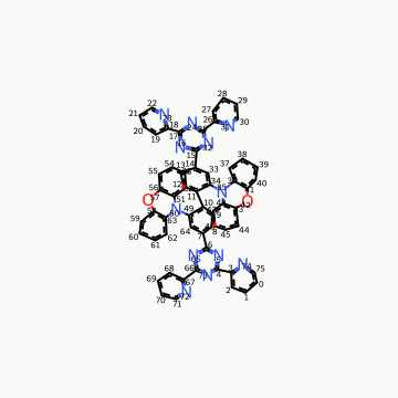 c1ccc(-c2nc(-c3ccc(-c4ccc(-c5nc(-c6ccccn6)nc(-c6ccccn6)n5)cc4N4c5ccccc5Oc5ccccc54)c(N4c5ccccc5Oc5ccccc54)c3)nc(-c3ccccn3)n2)nc1